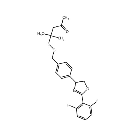 CC(=O)CC(C)(C)SSCc1ccc(C2COC(c3c(F)cccc3F)=N2)cc1